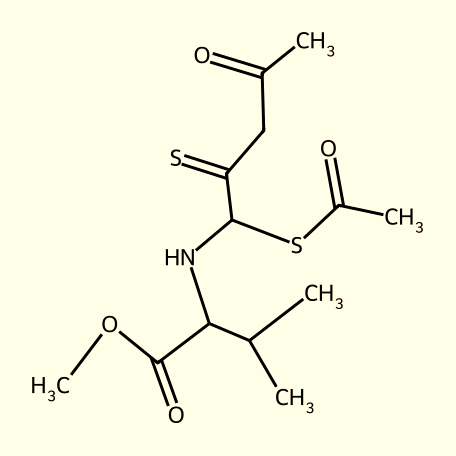 COC(=O)C(NC(SC(C)=O)C(=S)CC(C)=O)C(C)C